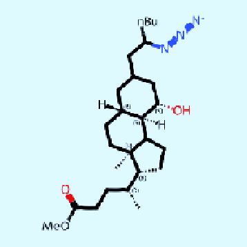 CCCCC(CC1C[C@H]2CC[C@@]3(C)C(CC[C@@H]3[C@H](C)CCC(=O)OC)[C@@H]2[C@@H](O)C1)N=[N+]=[N-]